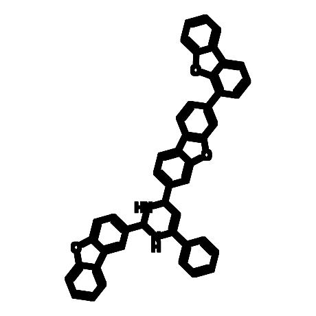 C1=C(c2ccccc2)NC(c2ccc3oc4ccccc4c3c2)NC1c1ccc2c(c1)oc1cc(-c3cccc4c3oc3ccccc34)ccc12